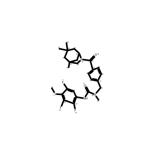 CSc1c(F)cc(NC(=O)N(C)Cc2ccc(C(=O)N3CC4(C)CC3CC(C)(C)C4)cc2)c(F)c1F